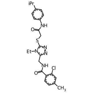 CCn1c(CNC(=O)c2ccc(C)cc2Cl)nnc1SCC(=O)Nc1ccc(C(C)C)cc1